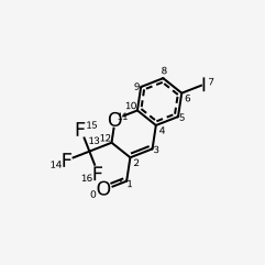 O=[C]C1=Cc2cc(I)ccc2OC1C(F)(F)F